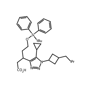 CC(C)CC1CC(n2nnc(C(CCO[Si](c3ccccc3)(c3ccccc3)C(C)(C)C)CC(=O)O)c2C2CC2)C1